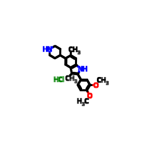 COc1ccc(-c2[nH]c3cc(C)c(C4CCNCC4)cc3c2C)cc1OC.Cl